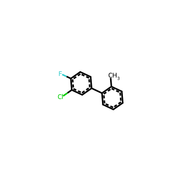 Cc1ccccc1-c1ccc(F)c(Cl)c1